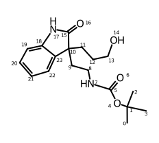 CC(C)(C)OC(=O)NCCC1(CCCO)C(=O)Nc2ccccc21